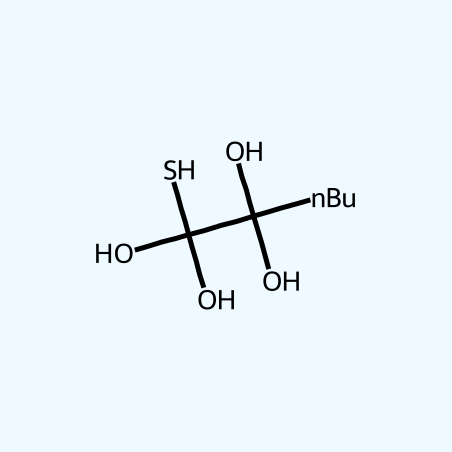 CCCCC(O)(O)C(O)(O)S